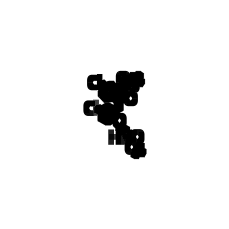 CC(C)(C)OC(=O)NCCOc1ccc(Cl)cc1/C=C1/C(=O)N(C(=O)OC(C)(C)C)c2cc(Cl)ccc21